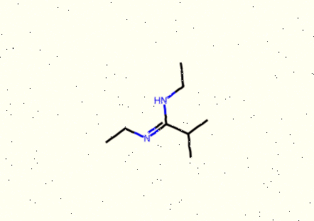 CCN=C(NCC)C(C)C